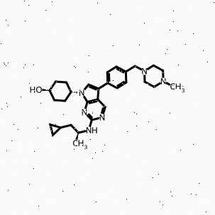 C[C@@H](CC1CC1)Nc1ncc2c(-c3ccc(CN4CCN(C)CC4)cc3)cn([C@H]3CC[C@H](O)CC3)c2n1